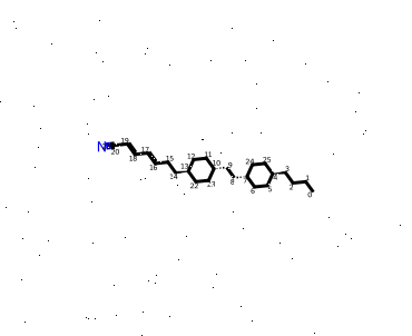 CCCC[C@H]1CC[C@H](CC[C@H]2CC[C@H](CC/C=C/C=C/C#N)CC2)CC1